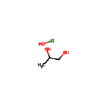 CC(O)CO.OCl